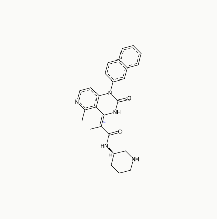 C/C(C(=O)N[C@@H]1CCCNC1)=C1/NC(=O)N(c2ccc3ccccc3c2)c2ccnc(C)c21